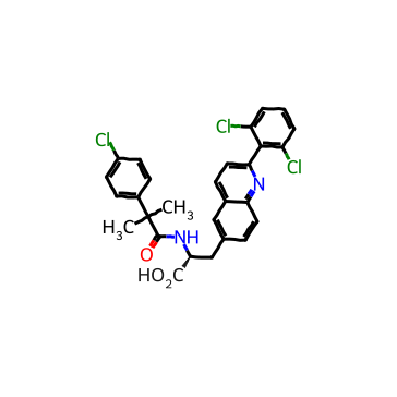 CC(C)(C(=O)N[C@@H](Cc1ccc2nc(-c3c(Cl)cccc3Cl)ccc2c1)C(=O)O)c1ccc(Cl)cc1